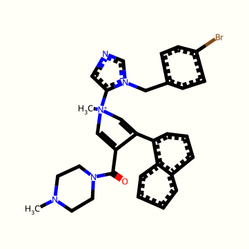 CN1CCN(C(=O)C2=C[N+](C)(c3cncn3Cc3ccc(Br)cc3)C=C2c2cccc3ccccc23)CC1